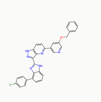 Fc1ccc(-c2cccc3[nH]c(-c4n[nH]c5ccc(-c6cncc(OCc7ccccc7)c6)nc45)nc23)cc1